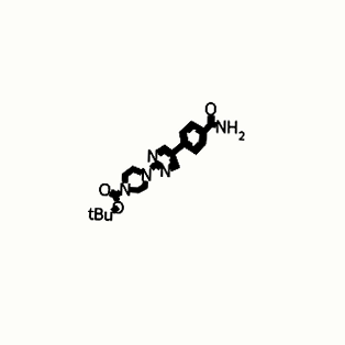 CC(C)(C)OC(=O)N1CCN(c2ncc(-c3ccc(C(N)=O)cc3)cn2)CC1